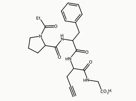 C#CCC(NC(=O)C(Cc1ccccc1)NC(=O)C1CCCN1C(=O)CC)C(=O)NCC(=O)O